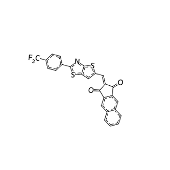 O=C1C(=Cc2cc3sc(-c4ccc(C(F)(F)F)cc4)nc3s2)C(=O)c2cc3ccccc3cc21